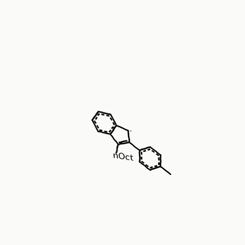 CCCCCCCCC1=C(c2ccc(C)cc2)[CH]c2ccccc21